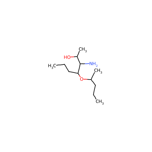 CCCC(C)OC(CCC)C(N)C(C)O